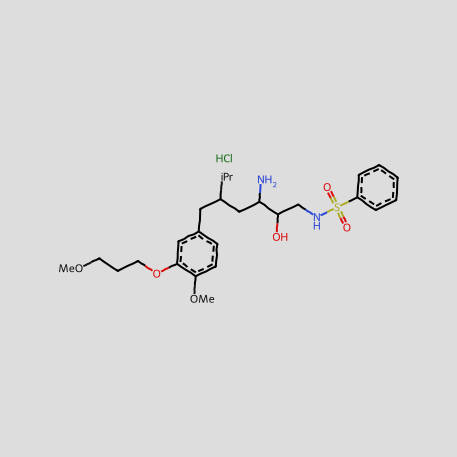 COCCCOc1cc(CC(CC(N)C(O)CNS(=O)(=O)c2ccccc2)C(C)C)ccc1OC.Cl